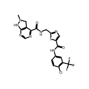 CN1Cc2c(ncnc2C(=O)NCc2ncc(C(=O)Nc3ccc(Cl)c(C(F)(F)F)c3)s2)N1